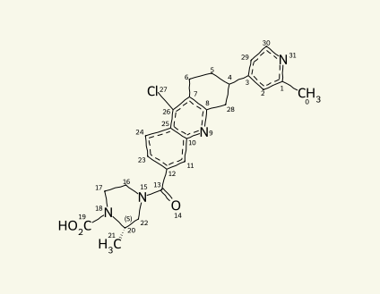 Cc1cc(C2CCc3c(nc4cc(C(=O)N5CCN(C(=O)O)[C@@H](C)C5)ccc4c3Cl)C2)ccn1